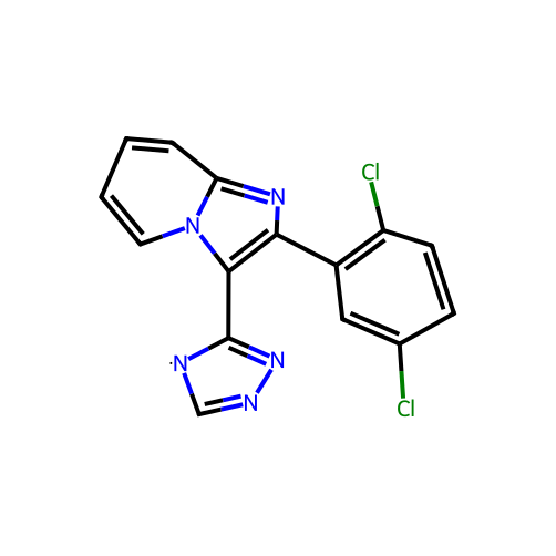 Clc1ccc(Cl)c(-c2nc3ccccn3c2C2=NN=C[N]2)c1